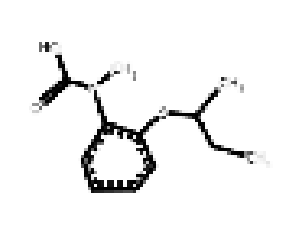 CCC(C)Sc1ccccc1N(C)C(=O)O